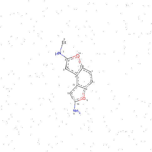 CCNc1cc2c(ccc3oc(N)cc32)o1